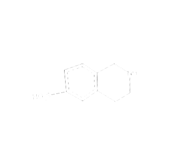 O=S(=O)(O)c1ccc2c(c1)CCNC2